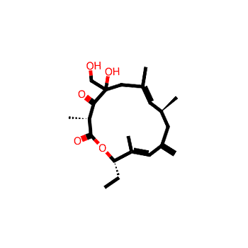 C=C1/C=C(\C)[C@H](CC)OC(=O)[C@H](C)C(=O)C(O)(CO)C/C(C)=C/[C@@H](C)C1